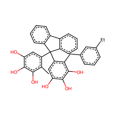 CCc1cccc(Cc2c(C3(c4cc(O)c(O)c(O)c4C)c4ccccc4-c4ccccc43)cc(O)c(O)c2O)c1